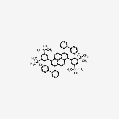 C[Si](C)(C)c1cc(-c2cc(-c3ccccc3-c3ccccc3)c3ccc4c(-c5cc([Si](C)(C)C)cc([Si](C)(C)C)c5)cc(-c5ccccc5-c5ccccc5)c5ccc2c3c45)cc([Si](C)(C)C)c1